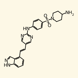 NC1CCN(S(=O)(=O)c2ccc(Nc3ncc(C=Cc4cccc5[nH]ncc45)cn3)cc2)CC1